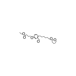 CCOC(=O)CCCOc1ccc(CCCCCCOC2CCCCO2)c(C=O)c1